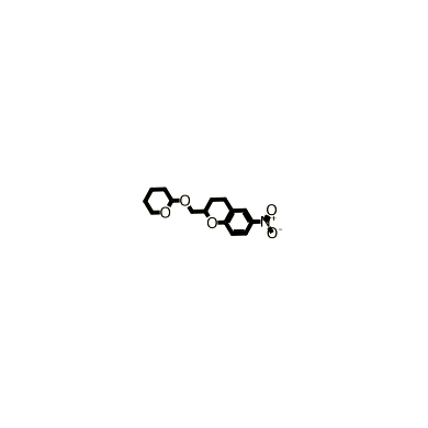 O=[N+]([O-])c1ccc2c(c1)CCC(COC1CCCCO1)O2